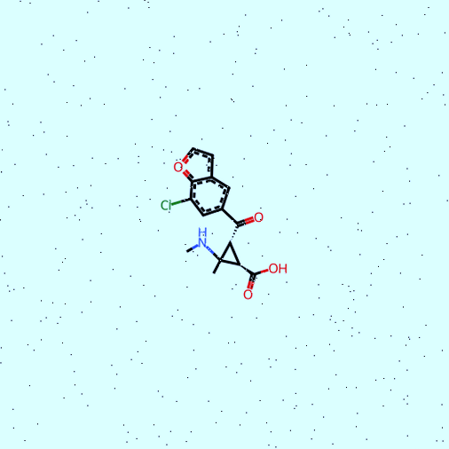 CNC1(C)[C@H](C(=O)O)[C@H]1C(=O)c1cc(Cl)c2occc2c1